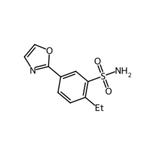 CCc1ccc(-c2ncco2)cc1S(N)(=O)=O